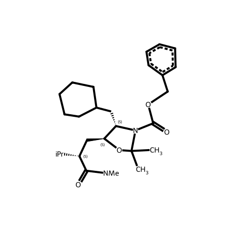 CNC(=O)[C@@H](C[C@@H]1OC(C)(C)N(C(=O)OCc2ccccc2)[C@H]1CC1CCCCC1)C(C)C